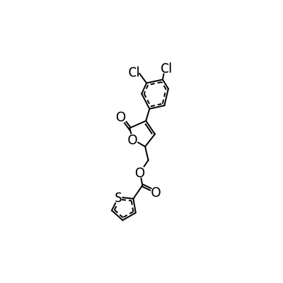 O=C1OC(COC(=O)c2cccs2)C=C1c1ccc(Cl)c(Cl)c1